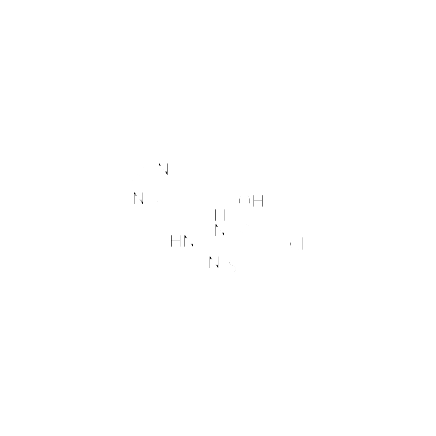 Oc1cc(Cl)cc2c1NC(Nc1ccc3nccnc3c1)=NS2